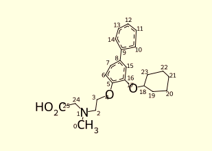 CN(CCOc1ccc(-c2ccccc2)cc1OC1CCCCC1)CC(=O)O